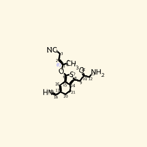 C/C(=C\CC#N)Oc1sc(CC(=O)CN)c2c1C=C(C=N)CC2